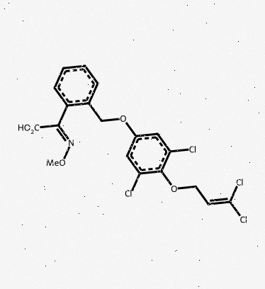 CON=C(C(=O)O)c1ccccc1COc1cc(Cl)c(OCC=C(Cl)Cl)c(Cl)c1